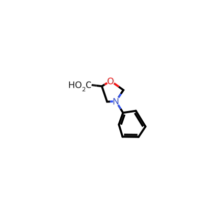 O=C(O)C1CN(c2ccccc2)CO1